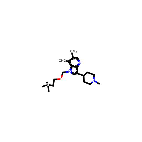 COc1cnc2c(C3CCN(C)CC3)cn(COCC[Si](C)(C)C)c2c1C=O